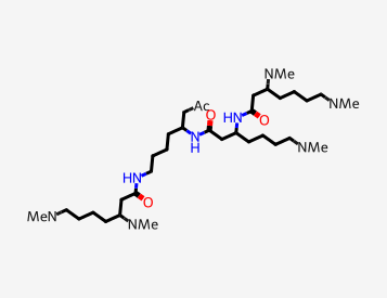 CNCCCCC(CC(=O)NCCCCC(CC(C)=O)NC(=O)CC(CCCCNC)NC(=O)CC(CCCCNC)NC)NC